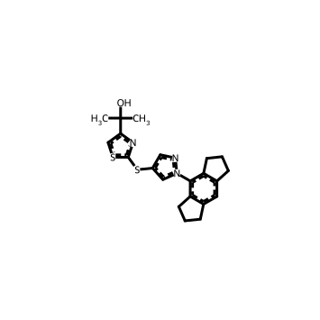 CC(C)(O)c1csc(Sc2cnn(-c3c4c(cc5c3CCC5)CCC4)c2)n1